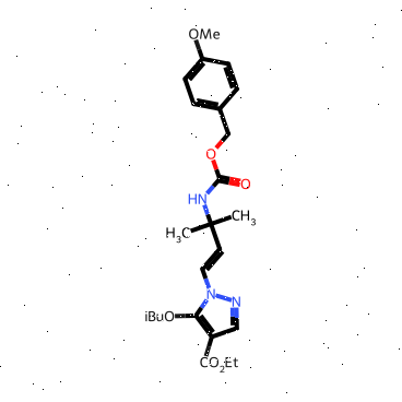 CCOC(=O)c1cnn(/C=C/C(C)(C)NC(=O)OCc2ccc(OC)cc2)c1OCC(C)C